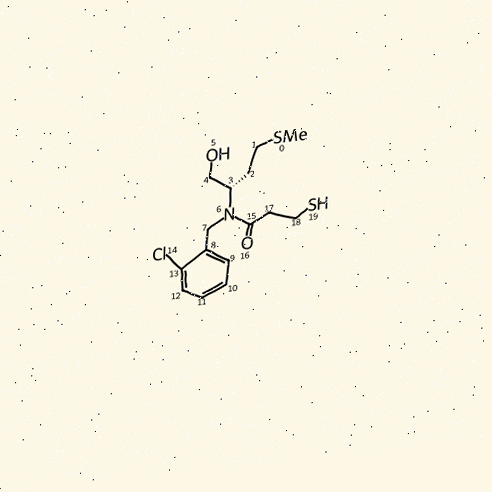 CSCC[C@@H](CO)N(Cc1ccccc1Cl)C(=O)CCS